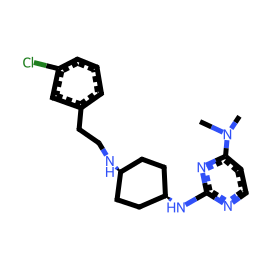 CN(C)c1ccnc(N[C@H]2CC[C@@H](NCCc3cccc(Cl)c3)CC2)n1